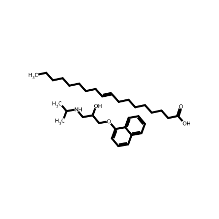 CC(C)NCC(O)COc1cccc2ccccc12.CCCCCCCCC=CCCCCCCCC(=O)O